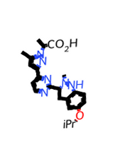 Cc1cc(-c2ccnc(C3Cc4cc(OC(C)C)ccc4NN3C)n2)nn1C(C)C(=O)O